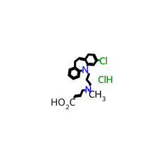 CN(C/C=C/C(=O)O)CCCN1C2=CC(Cl)=CCC2=CCc2ccccc21.Cl